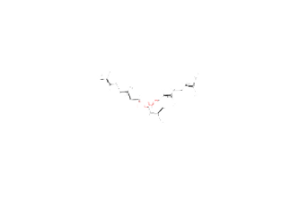 C=C(C)CC(OC/C=C(\C)CCC=C(C)C)OC/C=C(\C)CCC=C(C)C